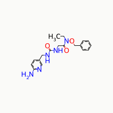 CCN(OCc1ccccc1)C(=O)CNC(=O)NCc1ccc(N)nc1